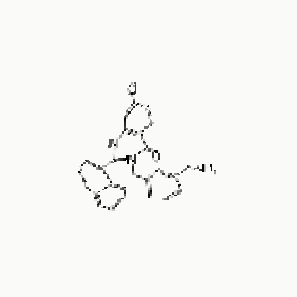 NCc1cccc(Cn2c(-c3cccc4ccccc34)nc3cc(Cl)ccc3c2=O)c1